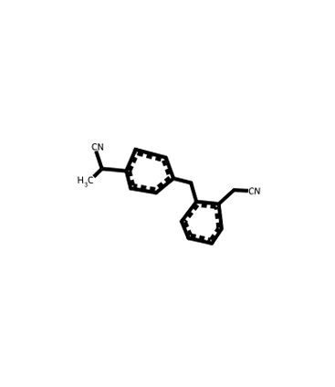 CC(C#N)c1ccc(Cc2ccccc2CC#N)cc1